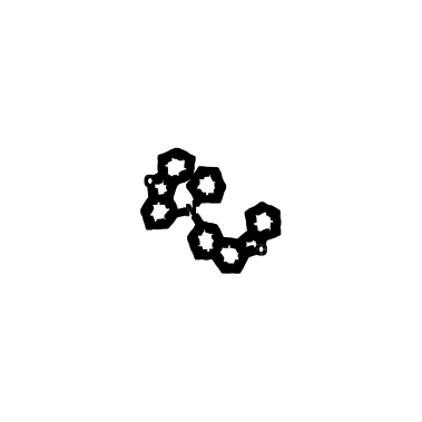 c1ccc(N(c2ccc3ccc4oc5ccccc5c4c3c2)c2cccc3oc4ccccc4c23)cc1